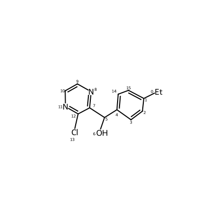 CCc1ccc(C(O)c2nccnc2Cl)cc1